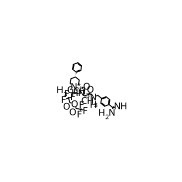 C[C@H](NC(=O)[C@H]1C[C@@H](c2ccccc2)CC[N+]1(C)C)C(=O)NCc1ccc(C(=N)N)cc1.O=C(OC(=O)C(F)(F)F)C(F)(F)F